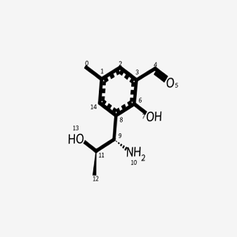 Cc1cc(C=O)c(O)c([C@H](N)[C@@H](C)O)c1